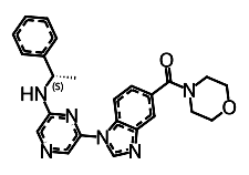 C[C@H](Nc1cncc(-n2cnc3cc(C(=O)N4CCOCC4)ccc32)n1)c1ccccc1